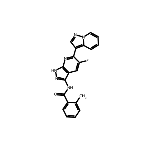 Cc1ccccc1C(=O)Nc1n[nH]c2nc(-c3cnn4ccccc34)c(F)cc12